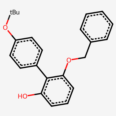 CC(C)(C)Oc1ccc(-c2c(O)cccc2OCc2ccccc2)cc1